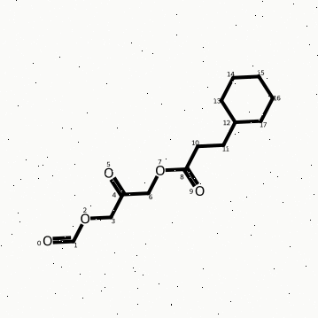 O=COCC(=O)COC(=O)CCC1CCCCC1